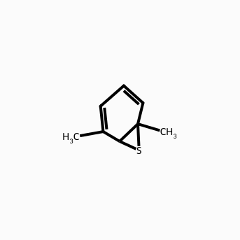 CC1=CC=CC2(C)SC12